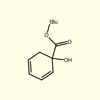 CC(C)(C)OC(=O)C1(O)C=CC=CC1